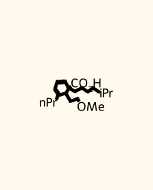 CCCC1=CC=CC(CCCCC(C)C)(C(=O)O)C1CCOC